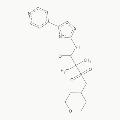 CC(C)(C(=O)Nc1nc(-c2ccncc2)cs1)S(=O)(=O)CC1CCOCC1